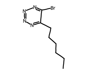 CCCCCCc1nnnnc1Br